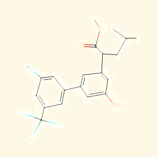 COC(=O)C(CC(C)C)c1cc(O)cc(-c2cc(F)cc(C(F)(F)F)c2)c1